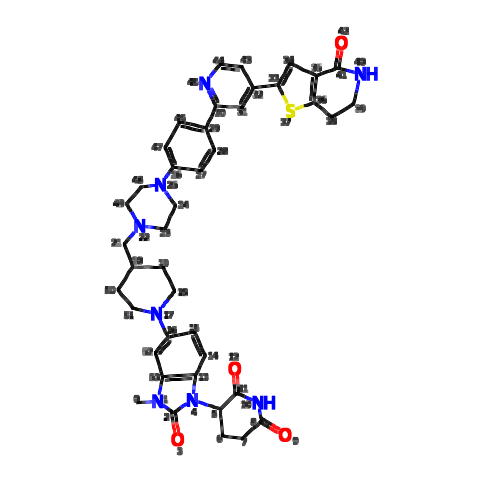 Cn1c(=O)n(C2CCC(=O)NC2=O)c2ccc(N3CCC(CN4CCN(c5ccc(-c6cc(-c7cc8c(s7)CCNC8=O)ccn6)cc5)CC4)CC3)cc21